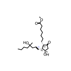 CCCCC(C)(O)C/C=C/[C@H]1[C@H](O)CC(=O)[C@H]1CCCCCCC(=O)OC